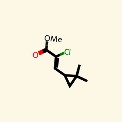 COC(=O)C(Cl)=CC1CC1(C)C